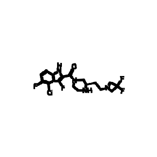 O=C(c1[nH]c2ccc(F)c(Cl)c2c1F)N1CCN[C@H](CCN2CC(F)(F)C2)C1